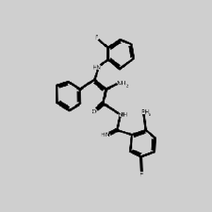 N=C(NC(=O)/C(N)=C(/Nc1ccccc1F)c1ccccc1)c1cc(F)ccc1P